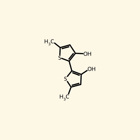 Cc1cc(O)c(-c2sc(C)cc2O)s1